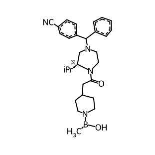 CB(O)N1CCC(CC(=O)N2CCN(C(c3ccccc3)c3ccc(C#N)cc3)C[C@@H]2C(C)C)CC1